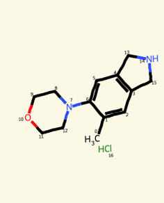 Cc1cc2c(cc1N1CCOCC1)CNC2.Cl